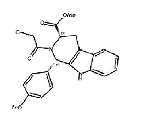 COC(=O)[C@H]1Cc2c([nH]c3ccccc23)[C@H](c2ccc(OC(C)=O)cc2)N1C(=O)CCl